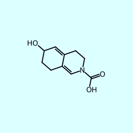 O=C(O)N1C=C2CCC(O)C=C2CC1